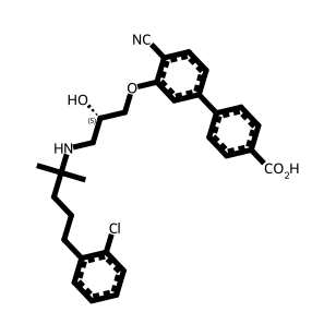 CC(C)(CCCc1ccccc1Cl)NC[C@H](O)COc1cc(-c2ccc(C(=O)O)cc2)ccc1C#N